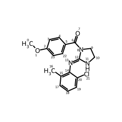 COc1ccc(C(=O)N2CCNC2=Nc2c(C)cccc2Cl)cc1